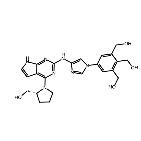 OCc1cc(-n2cnc(Nc3nc(N4CCC[C@@H]4CO)c4cc[nH]c4n3)c2)cc(CO)c1CO